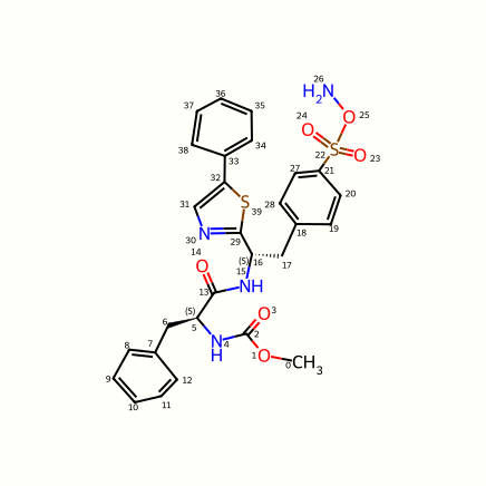 COC(=O)N[C@@H](Cc1ccccc1)C(=O)N[C@@H](Cc1ccc(S(=O)(=O)ON)cc1)c1ncc(-c2ccccc2)s1